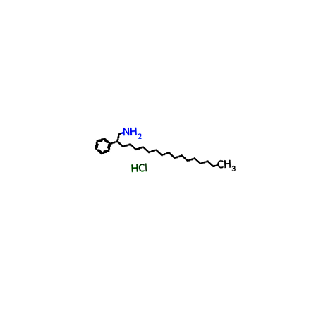 CCCCCCCCCCCCCCCCC(CN)c1ccccc1.Cl